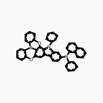 c1ccc(N(c2ccc3c4cc5c6c(c4n(-c4ccccc4)c3c2)Oc2ccccc2B6c2ccccc2O5)c2cccc3ccccc23)cc1